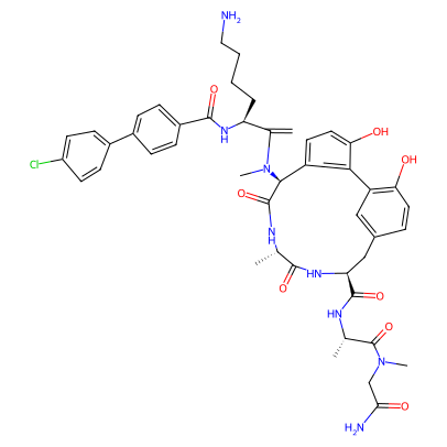 C=C([C@H](CCCCN)NC(=O)c1ccc(-c2ccc(Cl)cc2)cc1)N(C)[C@@H]1C(=O)N[C@@H](C)C(=O)N[C@H](C(=O)N[C@@H](C)C(=O)N(C)CC(N)=O)Cc2ccc(O)c(c2)-c2cc1ccc2O